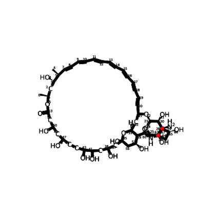 C[C@H]1C[C@H](O)[C@@H](C)/C=C/C=C/C=C/C=C/C=C/C=C/C=C/C(O[C@@H]2OC[C@@H](O)[C@H](N)[C@@H]2O)C[C@@H]2OC(O)(CC(O)CC(O)C(O)CCC(O)CC(O)CC(=O)O1)C[C@H](O)C2C(=O)N[C@H]1C[C@@H](O)C1